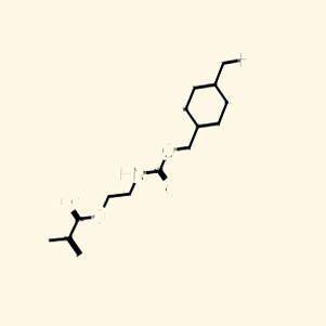 C=C(C)C(=O)OCCNC(=O)OCC1CCC(CF)CC1